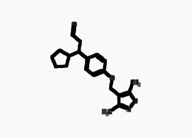 Cc1noc(C)c1COc1ccc(C(CC=O)C2CCCC2)cc1